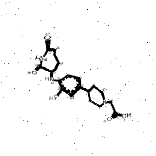 O=C(O)CN1CCC(c2ccc(NC3CCC(=O)NC3=O)c(F)c2)CC1